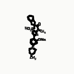 COc1cc(N2CCN(C)CC2)ccc1-c1csc(N(C)C(=O)C2(CC(=O)O)Cc3ccccc3C2)n1